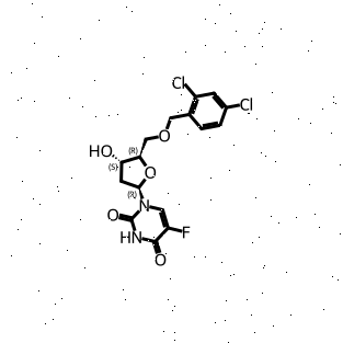 O=c1[nH]c(=O)n([C@H]2C[C@H](O)[C@@H](COCc3ccc(Cl)cc3Cl)O2)cc1F